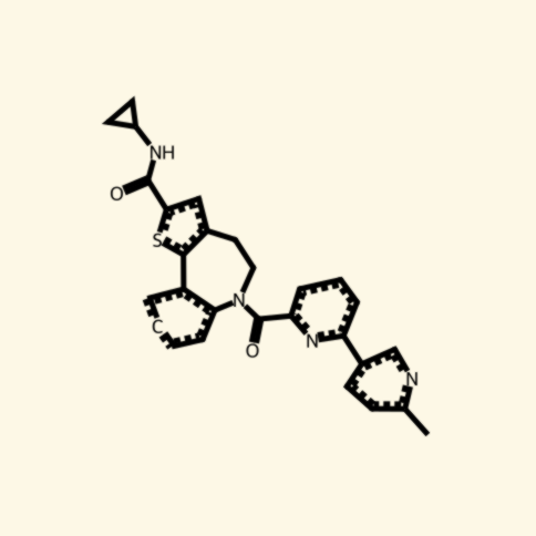 Cc1ccc(-c2cccc(C(=O)N3CCc4cc(C(=O)NC5CC5)sc4-c4ccccc43)n2)cn1